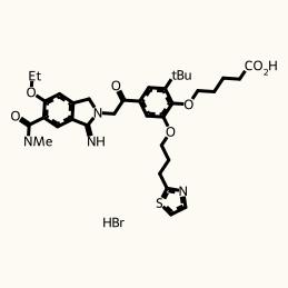 Br.CCOc1cc2c(cc1C(=O)NC)C(=N)N(CC(=O)c1cc(OCCCc3nccs3)c(OCCCCC(=O)O)c(C(C)(C)C)c1)C2